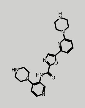 O=C(Nc1cnccc1N1CCNCC1)c1ncc(-c2cccc(N3CCNCC3)n2)o1